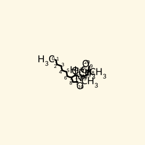 CCCCCCCC1CC(=O)N(C(C)(C)CC(C)(C)C=O)C1=O